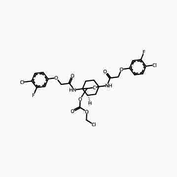 O=C(COc1ccc(Cl)c(F)c1)NC12CCC(NC(=O)COc3ccc(Cl)c(F)c3)(CC1)[C@H](OC(=O)OCCl)C2